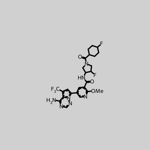 COc1ncc(-c2cc(C(F)(F)F)c3c(N)ncnn23)cc1C(=O)NC1CN(C(=O)C2CCC(F)CC2)CC1F